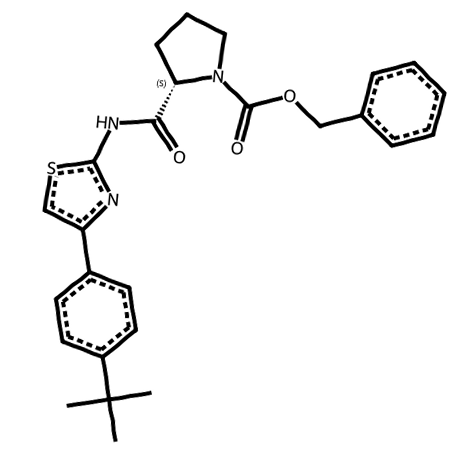 CC(C)(C)c1ccc(-c2csc(NC(=O)[C@@H]3CCCN3C(=O)OCc3ccccc3)n2)cc1